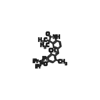 Cc1cc(O[Si](C(C)C)(C(C)C)C(C)C)cc(C)c1Cc1ccc2c(c1)C(C)(C)C(=O)N2